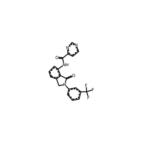 O=C(Nc1cccc2c1C(=O)N(c1cccc(C(F)(F)F)c1)C2)c1ccncn1